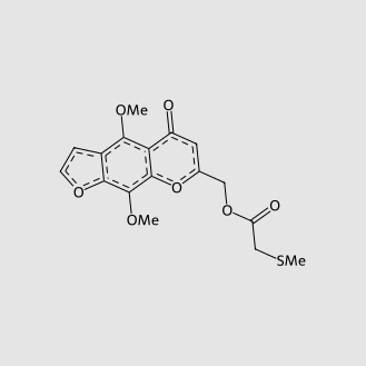 COc1c2occc2c(OC)c2c(=O)cc(COC(=O)CSC)oc12